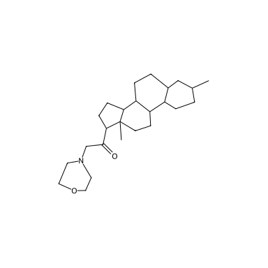 CC1CCC2C(CCC3C2CCC2(C)C(C(=O)CN4CCOCC4)CCC32)C1